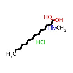 CCCCCCCCCCCCC(NC)C(O)O.Cl